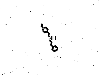 C=Cc1ccc(CCNCCCc2ccccc2)cc1